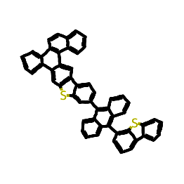 c1ccc2c(c1)ccc1c3ccccc3c3cc4sc5cc(-c6c7ccccc7c(-c7cccc8c7sc7ccccc78)c7ccccc67)ccc5c4cc3c21